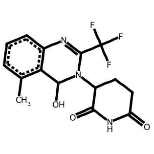 Cc1cccc2c1C(O)N(C1CCC(=O)NC1=O)C(C(F)(F)F)=N2